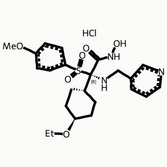 CCO[C@H]1CC[C@H]([C@](NCc2cccnc2)(C(=O)NO)S(=O)(=O)c2ccc(OC)cc2)CC1.Cl